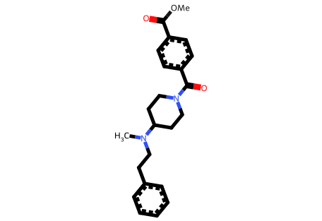 COC(=O)c1ccc(C(=O)N2CCC(N(C)CCc3ccccc3)CC2)cc1